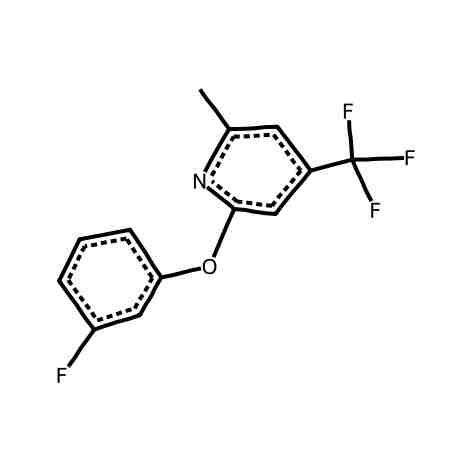 Cc1cc(C(F)(F)F)cc(Oc2cccc(F)c2)n1